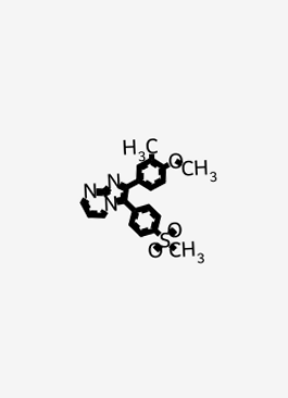 COc1ccc(-c2nc3ncccn3c2-c2ccc(S(C)(=O)=O)cc2)cc1C